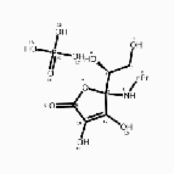 CCCN[C@]1([C@@H](O)CO)OC(=O)C(O)=C1O.O=P(O)(O)O